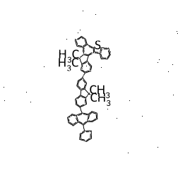 CC1(C)c2cc(-c3ccc4c(c3)C(C)(C)c3c-4c4c5ccccc5sc4c4ccccc34)ccc2-c2ccc(-c3c4ccccc4c(-c4ccccc4)c4ccccc34)cc21